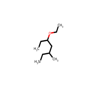 CCOC(CC)CC(C)C[SiH3]